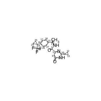 C[C@@H](NC(=O)c1cc(=O)[nH]c(C2CC2)n1)c1ccc(C2(C(F)(F)F)CC2)cc1